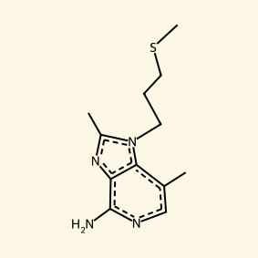 CSCCCn1c(C)nc2c(N)ncc(C)c21